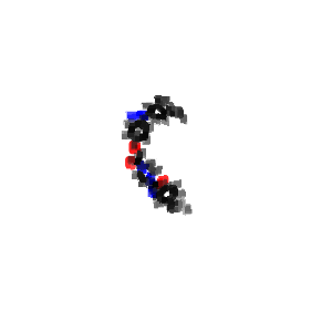 O=C(CO[C@H]1CC[C@H](Nc2ccc([N+](=O)[O-])c(C(F)(F)F)c2)CC1)N1CCN(c2nc3cc(C(F)(F)F)ccc3o2)CC1